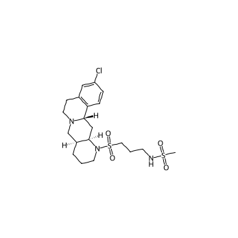 CS(=O)(=O)NCCCS(=O)(=O)N1CCC[C@H]2CN3CCc4cc(Cl)ccc4[C@@H]3C[C@H]21